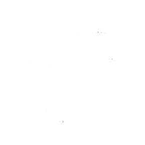 CCC(CCC(=O)OC)(CCC(=O)OC)CCC(=O)OC